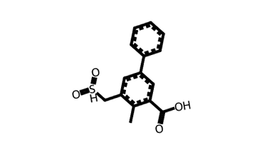 Cc1c(C[SH](=O)=O)cc(-c2ccccc2)cc1C(=O)O